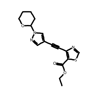 CCOC(=O)c1scnc1C#Cc1cnn(C2CCCCO2)c1